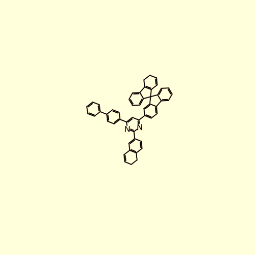 C1=CC2=C(CC1)c1ccccc1C21c2ccccc2-c2ccc(-c3cc(-c4ccc(-c5ccccc5)cc4)nc(-c4ccc5c(c4)C=CCC5)n3)cc21